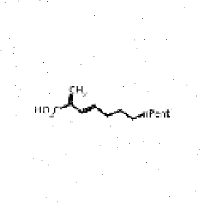 C=C(C=CCCCCCCCC)C(=O)O